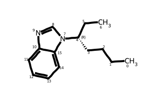 CCCC[C@@H](CC)n1cnc2ccccc21